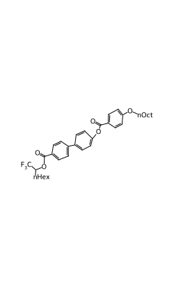 CCCCCCCCOc1ccc(C(=O)Oc2ccc(-c3ccc(C(=O)OC(CCCCCC)C(F)(F)F)cc3)cc2)cc1